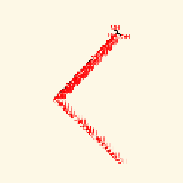 CO.CO.CO.CO.CO.CO.CO.CO.CO.CO.CO.CO.CO.CO.CO.CO.CO.CO.CO.CO.CO.CO.CO.CO.CO.CO.CO.CO.CO.CO.CO.CO.CO.CO.CO.CO.CO.CO.CO.CO.CO.CO.CO.CO.CO.CO.CO.CO.CO.CO.CO.CO.CO.CO.CO.CO.CO.CO.CO.CO.CO.CO.CO.CO.CO.CO.CO.CO.CO.CO.OCCC(O)CCO